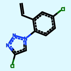 C=Cc1cc(Cl)ccc1-n1cc(Cl)nn1